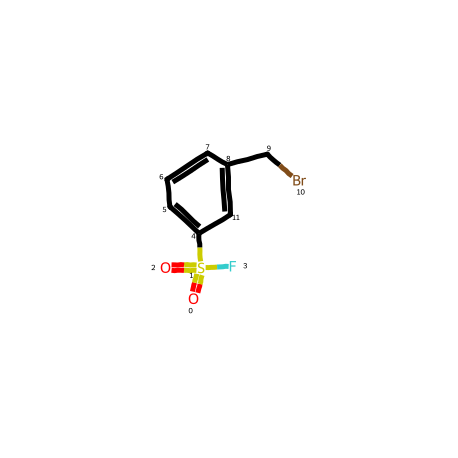 O=S(=O)(F)c1cccc(CBr)c1